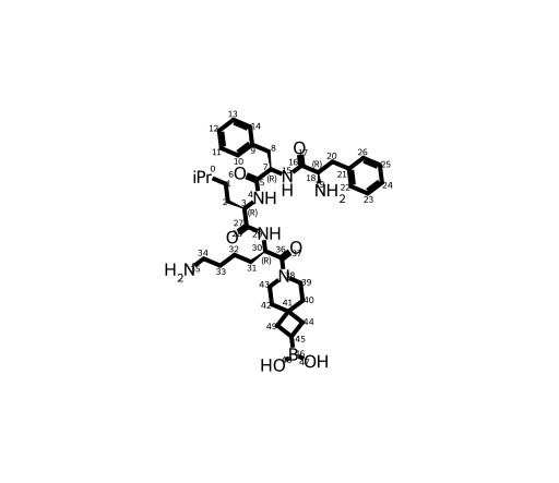 CC(C)CC[C@@H](NC(=O)[C@@H](Cc1ccccc1)NC(=O)[C@H](N)Cc1ccccc1)C(=O)N[C@H](CCCCN)C(=O)N1CCC2(CC1)CC(B(O)O)C2